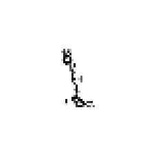 N#Cc1ccc2[nH]cc(CCCCNCCCOc3ccc4nonc4c3)c2c1